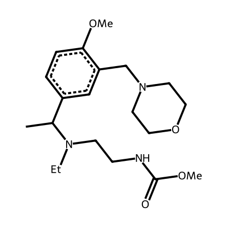 CCN(CCNC(=O)OC)C(C)c1ccc(OC)c(CN2CCOCC2)c1